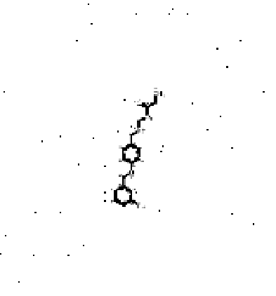 CCC(=O)OCNCc1ccc(OCc2cccc(F)c2)cc1